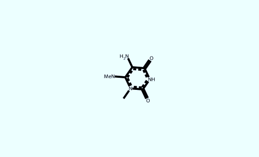 CNc1c(N)c(=O)[nH]c(=O)n1C